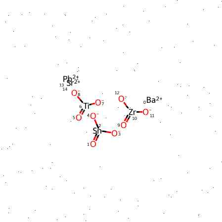 [Ba+2].[O]=[Sn]([O-])[O-].[O]=[Ti]([O-])[O-].[O]=[Zr]([O-])[O-].[Pb+2].[Sr+2]